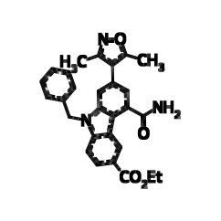 CCOC(=O)c1ccc2c(c1)c1c(C(N)=O)cc(-c3c(C)noc3C)cc1n2Cc1ccccc1